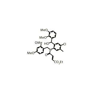 CCOC(=O)/C=C/C(=O)N(Cc1ccc(OC)cc1OC)c1cc(C)c(Cl)cc1C(O)c1cccc(OC)c1OC